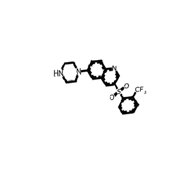 O=S(=O)(c1cnc2ccc(N3CCNCC3)cc2c1)c1ccccc1C(F)(F)F